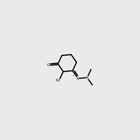 CC(=O)C1C(=O)CCC/C1=N\N(C)C